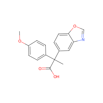 COc1ccc(C(C)(C(=O)O)c2ccc3ocnc3c2)cc1